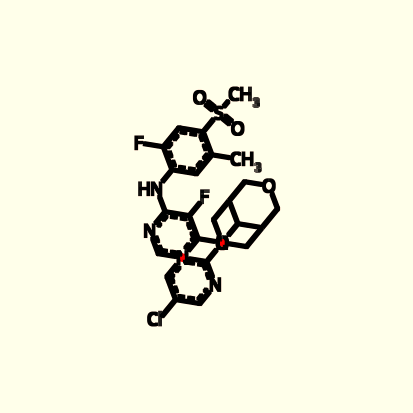 Cc1cc(Nc2ncnc(OC3C4COCC3CN(c3ncc(Cl)cn3)C4)c2F)c(F)cc1S(C)(=O)=O